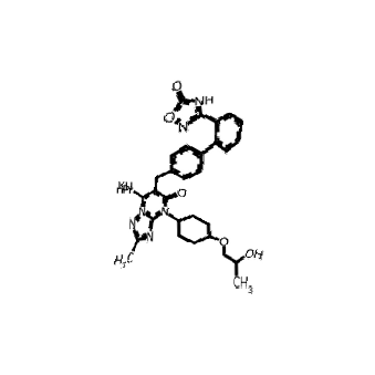 CCCc1c(Cc2ccc(-c3ccccc3-c3noc(=O)[nH]3)cc2)c(=O)n(C2CCC(OCC(C)O)CC2)c2nc(C)nn12.[KH]